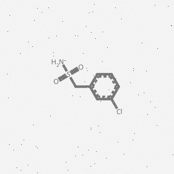 NS(=O)(=O)Cc1cccc(Cl)c1